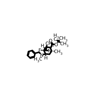 C[C@@H]1N(C(=O)OC(C)(C)C)[C@@]2(C)CC[C@@]1(F)[C@@H](N(C)Cc1ccccc1)C2